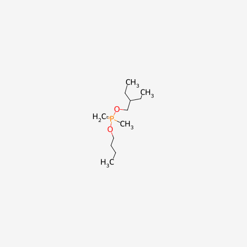 C=P(C)(OCCCC)OCC(CC)CC